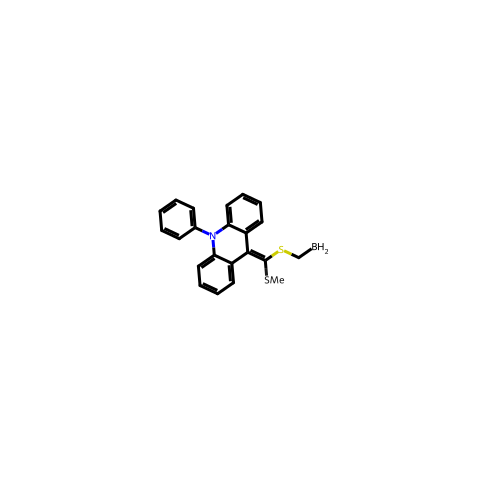 BCSC(SC)=C1c2ccccc2N(c2ccccc2)c2ccccc21